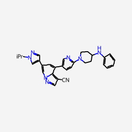 CC(C)n1cc(-c2cc(-c3ccc(N4CCC(Nc5ccccc5)CC4)nc3)c3c(C#N)cnn3c2)cn1